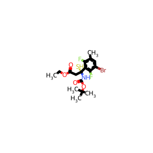 CCOC(=O)C[C@@](S)(NC(=O)OC(C)(C)C)c1c(F)c(C)cc(Br)c1F